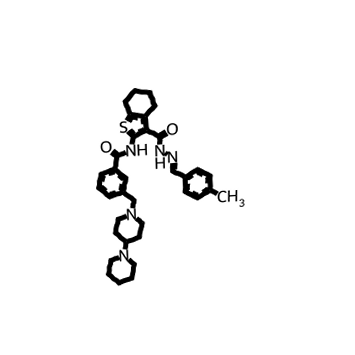 Cc1ccc(/C=N/NC(=O)c2c(NC(=O)c3cccc(CN4CCC(N5CCCCC5)CC4)c3)sc3c2CCCC3)cc1